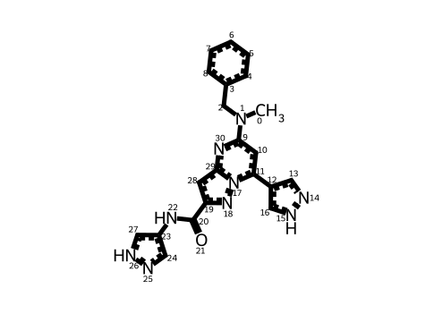 CN(Cc1ccccc1)c1cc(-c2cn[nH]c2)n2nc(C(=O)Nc3cn[nH]c3)cc2n1